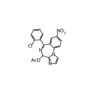 CC(=O)OC1N=C(c2ccccc2Cl)c2cc([N+](=O)[O-])ccc2-n2ccnc21